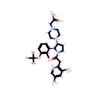 [2H]C([2H])([2H])Oc1cccc([C@H]2[C@@H](N3CCN(CC(N)=O)CC3)CCN2C(=O)Cc2ncc(C(F)(F)F)cc2C(F)(F)F)c1C